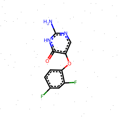 Nc1ncc(Oc2ccc(F)cc2F)c(=O)[nH]1